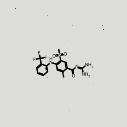 Cc1cc(Nc2ccccc2C(F)(F)F)c(S(C)(=O)=O)cc1C(=O)N=C(N)N